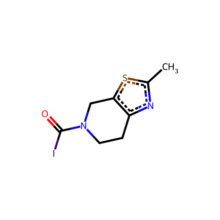 Cc1nc2c(s1)CN(C(=O)I)CC2